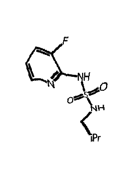 CC(C)CNS(=O)(=O)Nc1ncccc1F